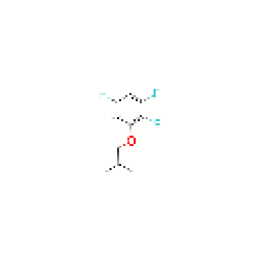 CC(C)COc1[c]c(F)cc(F)c1F